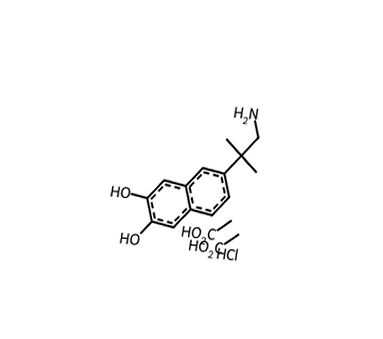 CC(=O)O.CC(=O)O.CC(C)(CN)c1ccc2cc(O)c(O)cc2c1.Cl